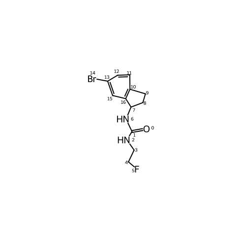 O=C(NCCF)NC1CCc2ccc(Br)cc21